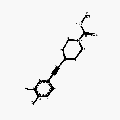 Cc1cc(C#CC2CCN(C(=O)OC(C)(C)C)CC2)ccc1Cl